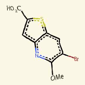 COc1nc2cc(C(=O)O)sc2cc1Br